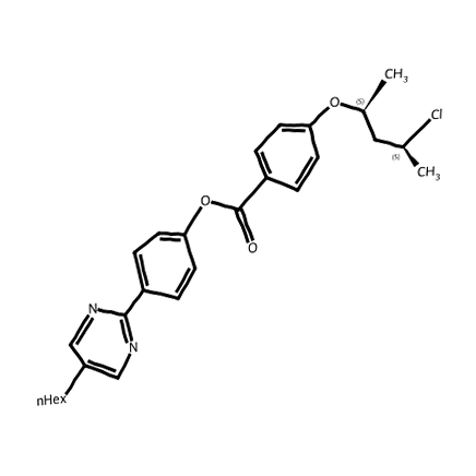 CCCCCCc1cnc(-c2ccc(OC(=O)c3ccc(O[C@@H](C)C[C@H](C)Cl)cc3)cc2)nc1